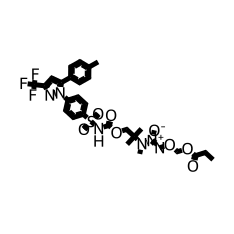 CCC(=O)OCON=[N+]([O-])N(C)C(C)(C)COC(=O)NS(=O)(=O)c1ccc(-n2nc(C(F)(F)F)cc2-c2ccc(C)cc2)cc1